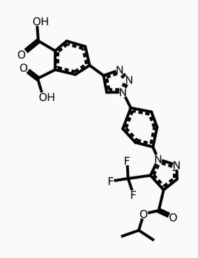 CC(C)OC(=O)c1cnn(-c2ccc(-n3cc(-c4ccc(C(=O)O)c(C(=O)O)c4)nn3)cc2)c1C(F)(F)F